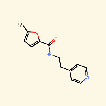 Cc1ccc(C(=O)NCCc2ccncc2)o1